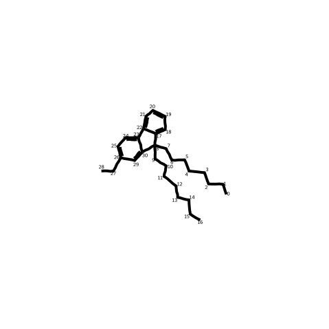 CCCCCCCCC1(CCCCCCCC)c2ccccc2-c2ccc(CC)cc21